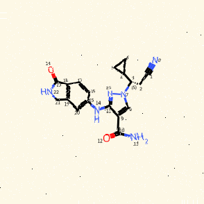 N#CC[C@@H](C1CC1)n1cc(C(N)=O)c(Nc2ccc3c(c2)CNC3=O)n1